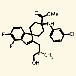 COC(=O)C1(Nc2cccc(Cl)c2)CCC2(CC1)C(C[C@@H](C)CO)=Cc1c2ccc(F)c1F